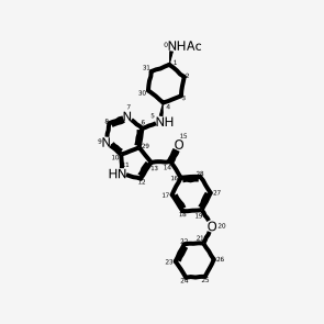 CC(=O)N[C@H]1CC[C@@H](Nc2ncnc3[nH]cc(C(=O)c4ccc(OC5C=CCCC5)cc4)c23)CC1